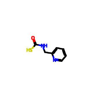 O=C(S)NCc1ccccn1